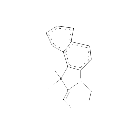 CC=C1N(CC)c2ccc3ccccc3c2C1(C)C